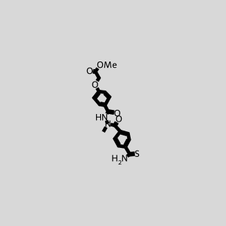 COC(=O)COc1ccc(C(=O)NN(C)C(=O)c2ccc(C(N)=S)cc2)cc1